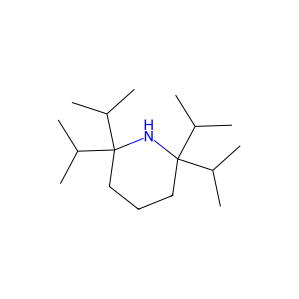 CC(C)C1(C(C)C)CCCC(C(C)C)(C(C)C)N1